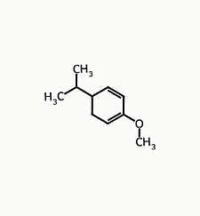 COC1=CCC(C(C)C)C=C1